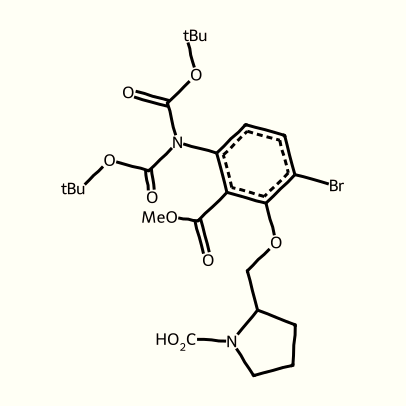 COC(=O)c1c(N(C(=O)OC(C)(C)C)C(=O)OC(C)(C)C)ccc(Br)c1OCC1CCCN1C(=O)O